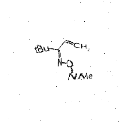 C=C/C(=N\ONC)C(C)(C)C